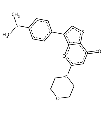 CN(C)c1ccc(-c2csc3c(=O)cc(N4CCOCC4)oc23)cc1